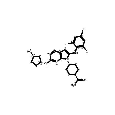 NC(=O)[C@H]1CC[C@H](n2c(Nc3c(F)cc(F)cc3F)nc3cnc(N[C@@H]4CC[C@@H](O)C4)nc32)CC1